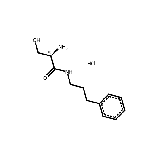 Cl.N[C@H](CO)C(=O)NCCCc1ccccc1